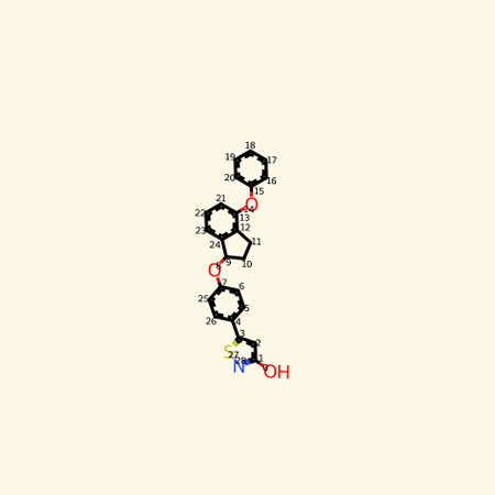 Oc1cc(-c2ccc(OC3CCc4c(Oc5ccccc5)cccc43)cc2)sn1